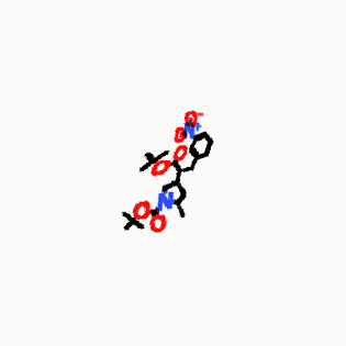 C[C@@H]1C[C@H]([C@H](Cc2cccc([N+](=O)[O-])c2)C(=O)OC(C)(C)C)CN1C(=O)OC(C)(C)C